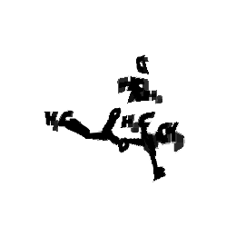 C=CC(=O)O[N+](C)(C)CC.Cl.N.[Cl-]